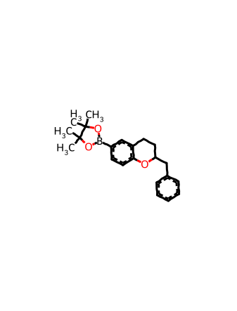 CC1(C)OB(c2ccc3c(c2)CCC(Cc2ccccc2)O3)OC1(C)C